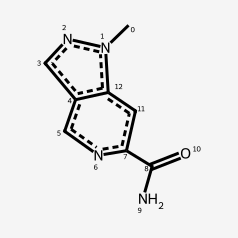 Cn1ncc2cnc(C(N)=O)cc21